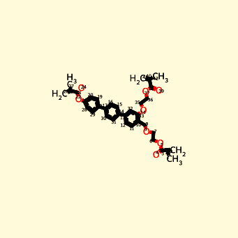 C=C(C)C(=O)OCCOCc1ccc(-c2ccc(-c3ccc(OC(=O)C(=C)C)cc3)cc2)cc1OCCOC(=O)C(=C)C